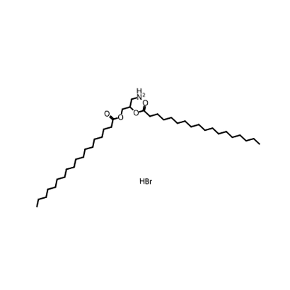 Br.CCCCCCCCCCCCCCCCCC(=O)OCC(CN)OC(=O)CCCCCCCCCCCCCCCCC